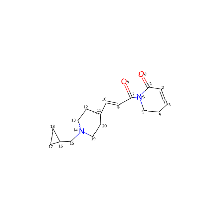 O=C1C=CCCN1C(=O)C=CC1CCN(CC2CC2)CC1